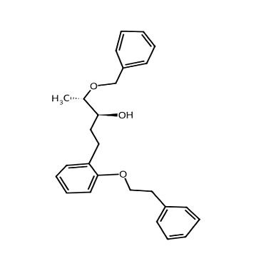 C[C@H](OCc1ccccc1)[C@@H](O)CCc1ccccc1OCCc1ccccc1